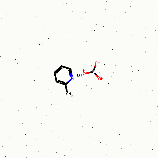 Cc1ccccn1.OB(O)O.[LiH]